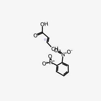 C/C=C/C(=O)O.O=[N+]([O-])c1ccccc1[N+](=O)[O-]